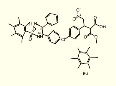 COC(=O)C(C(=O)O)C(C[N+](=O)[O-])c1ccc(Cl)cc1.Cc1c(C)c(C)c(C)c(C)c1C.Cc1c(C)c(C)c(S(=O)(=O)N[C@@H](c2ccccc2)[C@@H](N)c2ccccc2)c(C)c1C.[Ru]